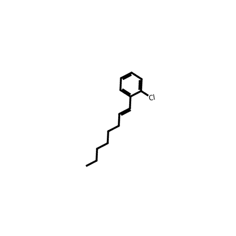 CCCCCCC=Cc1ccccc1Cl